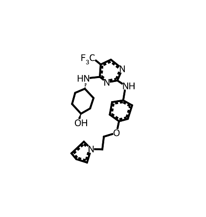 O[C@H]1CC[C@H](Nc2nc(Nc3ccc(OCCn4cccc4)cc3)ncc2C(F)(F)F)CC1